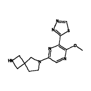 COc1ncc(N2CCC3(CNC3)C2)nc1-c1nncs1